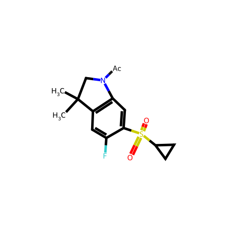 CC(=O)N1CC(C)(C)c2cc(F)c(S(=O)(=O)C3CC3)cc21